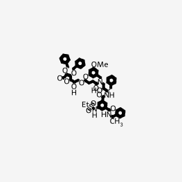 CCS(=O)(=O)Nc1cc(C(=O)N[C@@H](Cc2ccccc2)[C@H](O)CN(Cc2cccc(OC)c2)C(=O)CCC(=O)OCC(O)C2OC(=O)C(OCc3ccccc3)=C2OCc2ccccc2)cc(C(=O)N[C@H](C)c2ccccc2)c1